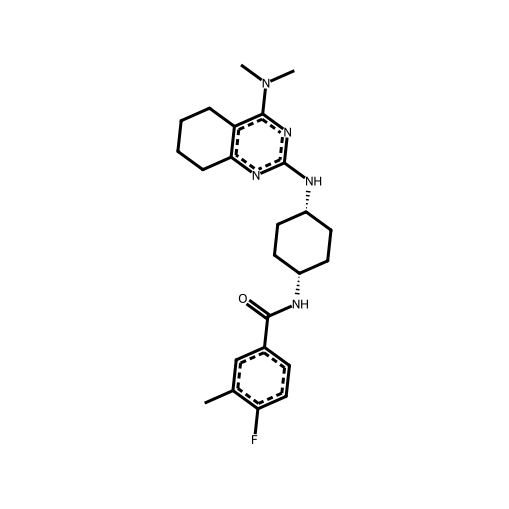 Cc1cc(C(=O)N[C@H]2CC[C@@H](Nc3nc4c(c(N(C)C)n3)CCCC4)CC2)ccc1F